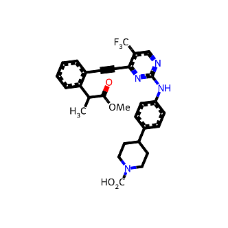 COC(=O)C(C)c1ccccc1C#Cc1nc(Nc2ccc(C3CCN(C(=O)O)CC3)cc2)ncc1C(F)(F)F